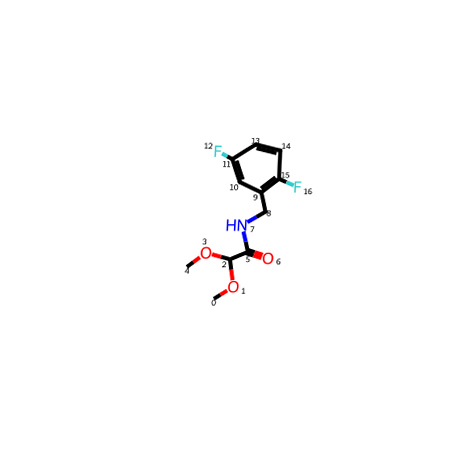 COC(OC)C(=O)NCc1cc(F)ccc1F